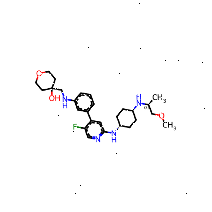 COC[C@H](C)N[C@H]1CC[C@H](Nc2cc(-c3cccc(NCC4(O)CCOCC4)c3)c(F)cn2)CC1